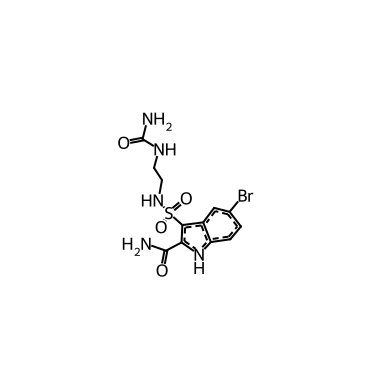 NC(=O)NCCNS(=O)(=O)c1c(C(N)=O)[nH]c2ccc(Br)cc12